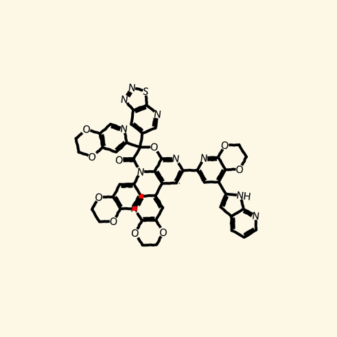 O=C1N(c2ccc3c(c2)OCCO3)c2c(-c3cnc4c(c3)OCCO4)[c]c(-c3cc(-c4cc5cccnc5[nH]4)c4c(n3)OCCO4)nc2OC1(c1cnc2snnc2c1)c1cc2c(cn1)OCCO2